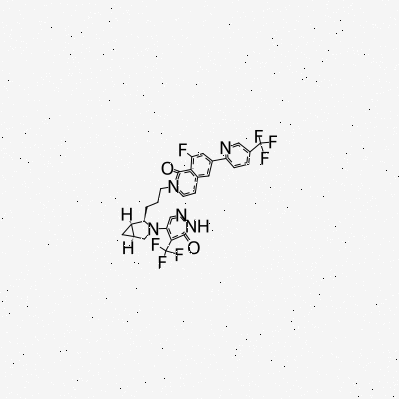 O=c1[nH]ncc(N2C[C@H]3C[C@H]3[C@H]2CCCn2ccc3cc(-c4ccc(C(F)(F)F)cn4)cc(F)c3c2=O)c1C(F)(F)F